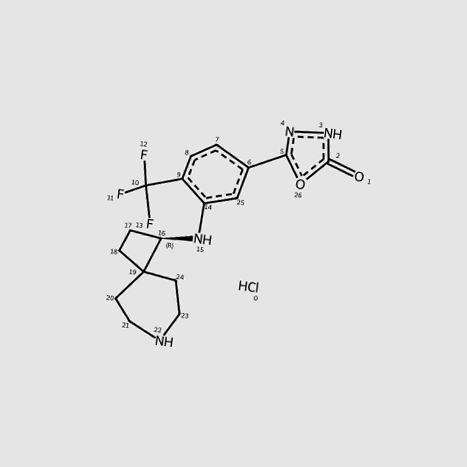 Cl.O=c1[nH]nc(-c2ccc(C(F)(F)F)c(N[C@@H]3CCC34CCNCC4)c2)o1